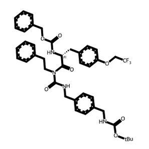 CC(C)(C)OC(=O)NCc1ccc(CNC(=O)N(CCc2ccccc2)C(=O)[C@@H](Cc2ccc(OCC(F)(F)F)cc2)NC(=O)OCc2ccccc2)cc1